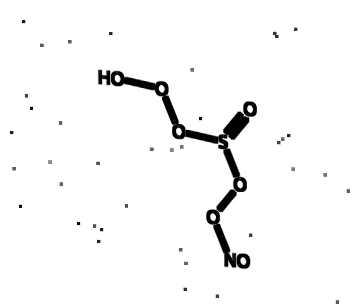 O=NOOS(=O)OOO